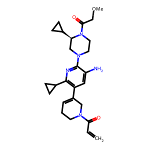 C=CC(=O)N1CCC=C(c2cc(N)c(N3CCN(C(=O)COC)[C@H](C4CC4)C3)nc2C2CC2)C1